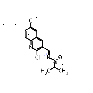 CC(C)[S@@+]([O-])/N=C/c1cc2cc(Cl)ccc2nc1Cl